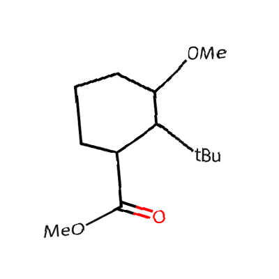 COC(=O)C1CCCC(OC)C1C(C)(C)C